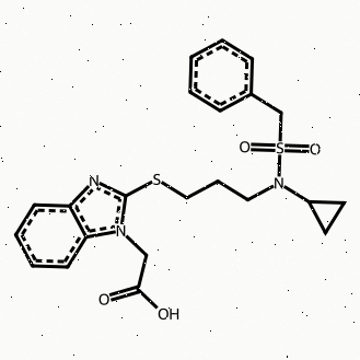 O=C(O)Cn1c(SCCCN(C2CC2)S(=O)(=O)Cc2ccccc2)nc2ccccc21